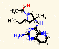 CCCC[C@](C)(CNC(C)O)Nc1nc(N)nc2cccnc12